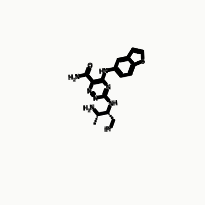 CC(C)C[C@@H](Nc1nnc(C(N)=O)c(Nc2ccc3sccc3c2)n1)[C@H](C)N